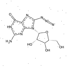 [N-]=[N+]=Nc1nc2c(=O)[nH]c(N)nc2n1[C@@H]1O[C@H](CO)C(O)[C@@H]1O